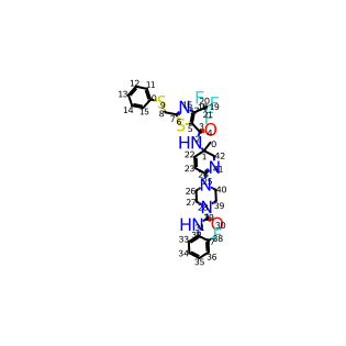 CC1(NC(=O)c2sc(CSc3ccccc3)nc2C(F)(F)F)C=CC(N2CCN(C(=O)Nc3ccccc3F)CC2)=NC1